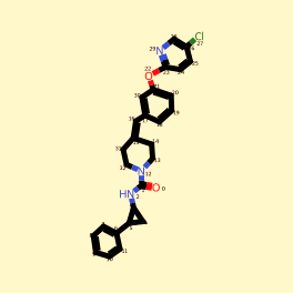 O=C(NC1CC1c1ccccc1)N1CCC(=Cc2cccc(Oc3ccc(Cl)cn3)c2)CC1